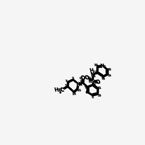 CC1CCN(C(=O)c2ccccc2S(=O)(=O)Nc2cccnc2)CC1